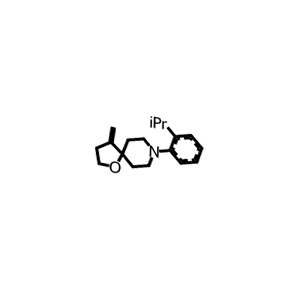 C=C1CCOC12CCN(c1ccccc1C(C)C)CC2